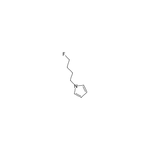 FCCCCn1cccc1